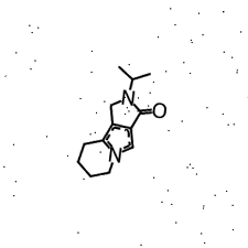 CC(C)N1Cc2c(cn3c2CCCC3)C1=O